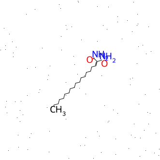 CCCCCCCCCCCCCCCCC=C(C(N)=O)C(N)=O